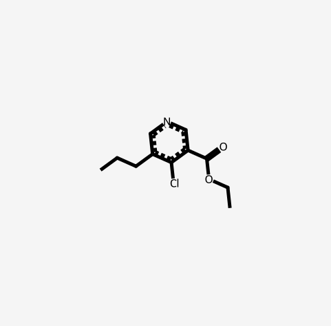 CCCc1cncc(C(=O)OCC)c1Cl